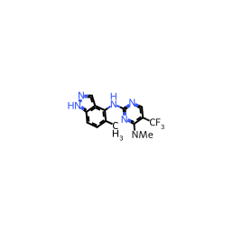 CNc1nc(Nc2c(C)ccc3[nH]ncc23)ncc1C(F)(F)F